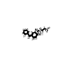 CN(C)CCSc1nc2cc(Cc3ccccc3)ccc2[nH]1